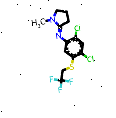 CN1CCC/C1=N\c1cc(SCC(F)(F)F)c(Cl)cc1Cl